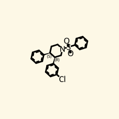 O=S(=O)(c1ccccc1)N1CC[C@H](c2ccccc2)[C@H](c2cccc(Cl)c2)C1